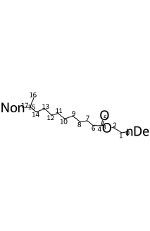 CCCCCCCCCCCCOC(=O)CCCCCCCCCC(C)CCCCCCCCC